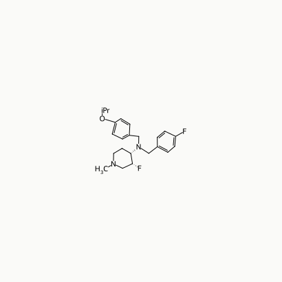 CC(C)Oc1ccc(CN(Cc2ccc(F)cc2)[C@H]2CCN(C)C[C@H]2F)cc1